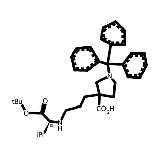 CC(C)[C@H](NCCCC1(C(=O)O)CCN(C(c2ccccc2)(c2ccccc2)c2ccccc2)C1)C(=O)OC(C)(C)C